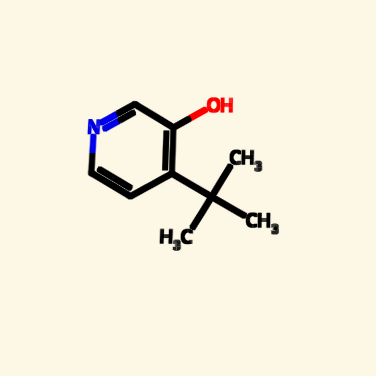 CC(C)(C)c1ccncc1O